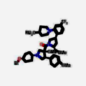 CCO[C@H]1CC[C@H](N2C[C@H](C3=CC=C(OC)CC3)[C@@](OC)(C(=O)N3C[C@@H](c4ccc(C(F)(F)F)cc4N4CCC(C(=O)O)CC4)C[C@@H]3COC)C2)CC1